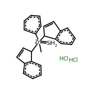 Cl.Cl.[CH3][Zr](=[SiH2])([c]1ccccc1)([CH]1C=Cc2ccccc21)[CH]1C=Cc2ccccc21